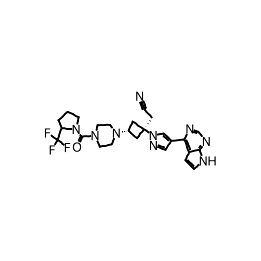 N#CC[C@]1(n2cc(-c3ncnc4[nH]ccc34)cn2)C[C@H](N2CCN(C(=O)N3CCCC3C(F)(F)F)CC2)C1